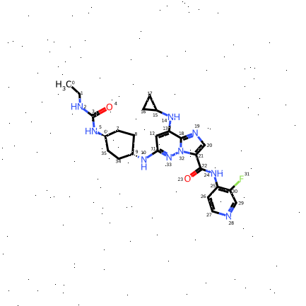 CCNC(=O)N[C@H]1CC[C@H](Nc2cc(NC3CC3)c3ncc(C(=O)Nc4ccncc4F)n3n2)CC1